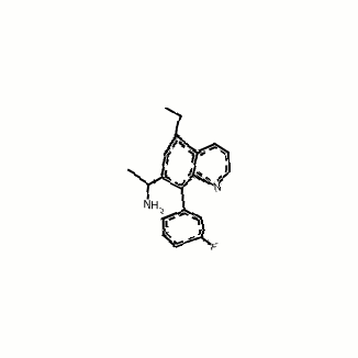 CCc1cc(C(C)N)c(-c2cccc(F)c2)c2ncccc12